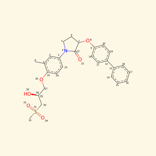 Cc1cc(N2CCC(Oc3ccc(-c4ccccc4)cc3)C2=O)ccc1OC[C@H](O)CS(C)(=O)=O